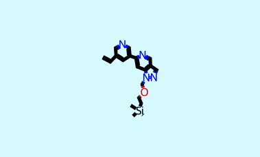 C=Cc1cncc(-c2cc3c(cn2)cnn3COCC[Si](C)(C)C)c1